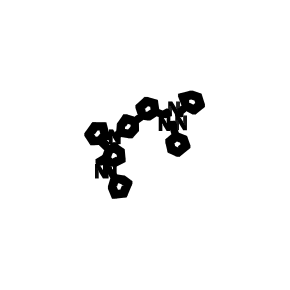 c1ccc(-c2nc(-c3ccccc3)nc(-c3cccc(-c4ccc(-n5c6ccccc6c6c7cnn(-c8ccccc8)c7ccc65)cc4)c3)n2)cc1